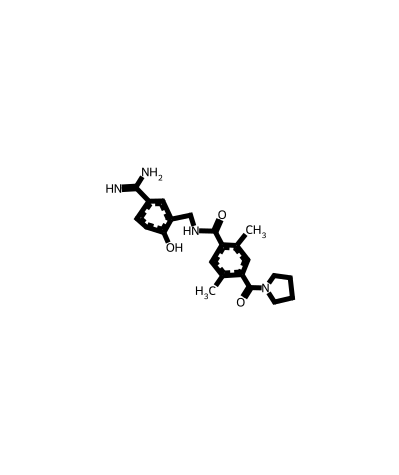 Cc1cc(C(=O)N2CCCC2)c(C)cc1C(=O)NCc1cc(C(=N)N)ccc1O